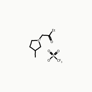 CCC(=O)C[S+]1CCC(C)C1.O=S(=O)([O-])C(F)(F)F